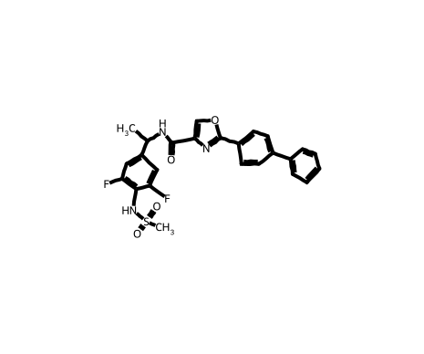 CC(NC(=O)c1coc(-c2ccc(-c3ccccc3)cc2)n1)c1cc(F)c(NS(C)(=O)=O)c(F)c1